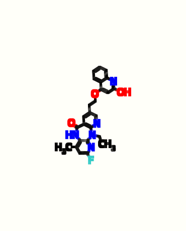 CCN1c2ncc(CCOc3cc(O)nc4ccccc34)cc2C(=O)Nc2c(C)cc(F)nc21